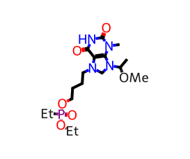 CCOP(=O)(CC)OCCCCN1CN(C(C)OC)c2c1c(=O)[nH]c(=O)n2C